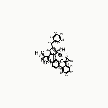 Cc1noc(-c2ccc(-c3ccccc3C3(C(=O)O)CC3)cc2)c1C(CCCc1ccccc1)NS(C)(=O)=O